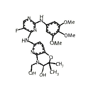 COc1cc(Nc2ncc(F)c(Nc3ccc4c(n3)N(CO)C(O)C(C)(C)O4)n2)cc(OC)c1OC